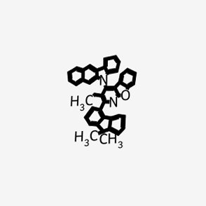 CCc1c(-c2cccc3c2-c2ccccc2C3(C)C)nc2oc3ccccc3c2c1-n1c2ccccc2c2cc3ccccc3cc21